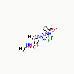 CCONC(=O)c1cc(C)c(Nc2ncc(C(F)(F)F)c(Nc3ccccc3P(C)(C)=O)n2)cc1F